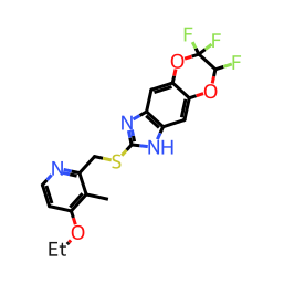 CCOc1ccnc(CSc2nc3cc4c(cc3[nH]2)OC(F)C(F)(F)O4)c1C